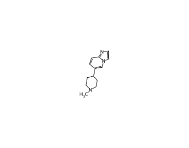 CN1CCC(c2ccc3nccn3c2)CC1